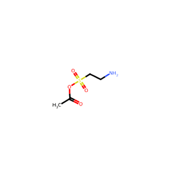 CC(=O)OS(=O)(=O)CCN